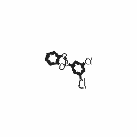 Clc1cc(Cl)cc(B2Oc3ccccc3O2)c1